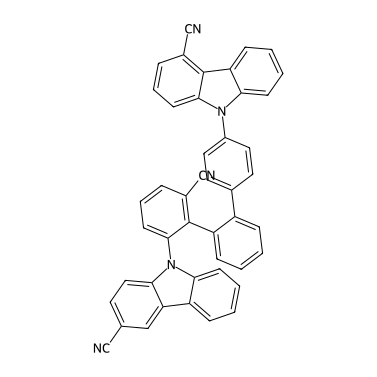 N#Cc1ccc2c(c1)c1ccccc1n2-c1cccc(C#N)c1-c1ccccc1-c1ccc(-n2c3ccccc3c3c(C#N)cccc32)cc1